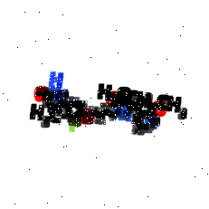 COc1ccc(C2=NN(CCCCOc3ccc(C4=NNC(=O)CC4C)cc3F)C(=O)C2(C)C)c2cccnc12